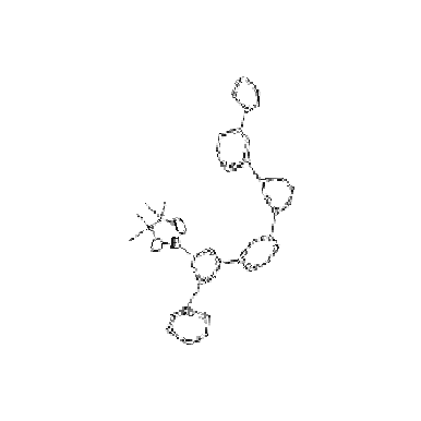 CC1(C)OB(c2cc(-c3ccccc3)cc(-c3cccc(-c4cccc(-c5cccc(-c6ccccc6)c5)c4)c3)c2)OC1(C)C